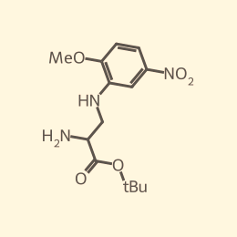 COc1ccc([N+](=O)[O-])cc1NCC(N)C(=O)OC(C)(C)C